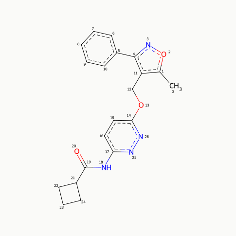 Cc1onc(-c2ccccc2)c1COc1ccc(NC(=O)C2CCC2)nn1